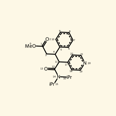 COC(=O)CC(c1ccccc1)C(C(=O)N(C(C)C)C(C)C)c1ccncc1